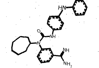 N=C(N)c1cccc(N(C(=O)Nc2ccc(Nc3ccccc3)cc2)C2CCCCCC2)c1